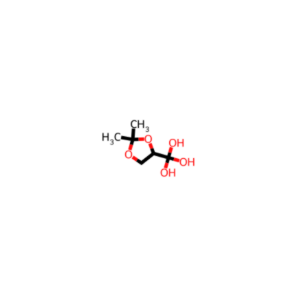 CC1(C)OCC(C(O)(O)O)O1